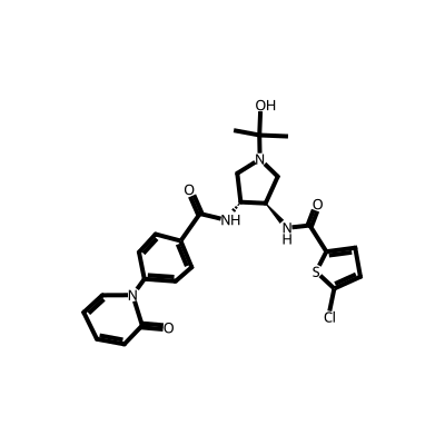 CC(C)(O)N1C[C@@H](NC(=O)c2ccc(-n3ccccc3=O)cc2)[C@H](NC(=O)c2ccc(Cl)s2)C1